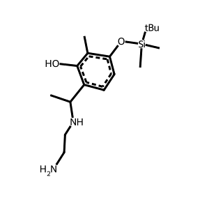 Cc1c(O[Si](C)(C)C(C)(C)C)ccc(C(C)NCCN)c1O